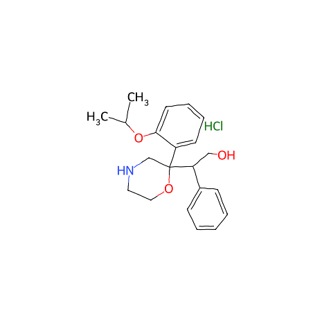 CC(C)Oc1ccccc1C1(C(CO)c2ccccc2)CNCCO1.Cl